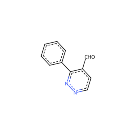 O=Cc1ccnnc1-c1ccccc1